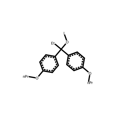 CCCOc1ccc(C(CC)(OI)c2ccc(OCCC)cc2)cc1